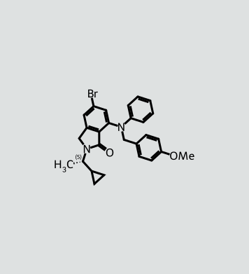 COc1ccc(CN(c2ccccc2)c2cc(Br)cc3c2C(=O)N([C@@H](C)C2CC2)C3)cc1